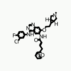 CN1C[C@@H]2C(CCOc3cc4ncnc(Nc5ccc(F)c(Cl)c5)c4cc3NC(=O)/C=C/CN3CC4CCC3CO4)[C@@H]2C1